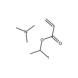 C=CC(=O)OC(C)I.CN(C)C